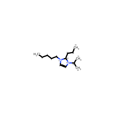 CCCCCN1C=CN(C(C)C)C1CCC